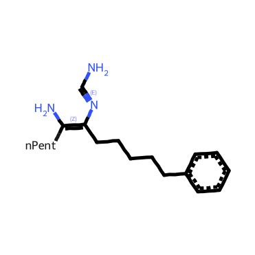 CCCCC/C(N)=C(CCCCCc1ccccc1)/N=C/N